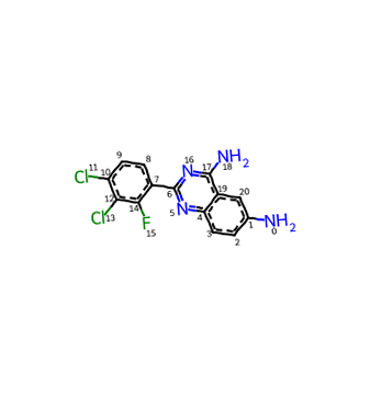 Nc1ccc2nc(-c3ccc(Cl)c(Cl)c3F)nc(N)c2c1